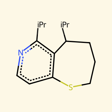 CC(C)c1nccc2c1C(C(C)C)CCCS2